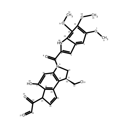 COc1cc2cc(C(=O)N3C[C@@H](CCl)c4c3cc(O)c3c4C=CC3C(=O)C=O)[nH]c2c(OC)c1OC